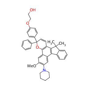 COc1cc2c3c(c4c(c2cc1N1CCCCC1)-c1ccccc1C4(C)C)C=CC(c1ccccc1)(c1ccc(OCCO)cc1)O3